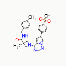 Cc1ccc(CNC(=O)C2(C)CN(c3ncnn4cc(-c5ccc(S(C)(=O)=O)cc5)cc34)C2)cc1